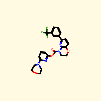 O=C(Oc1cccc(N2CCOCC2)n1)N1CCOc2ccc(-c3cccc(C(F)(F)F)c3)nc21